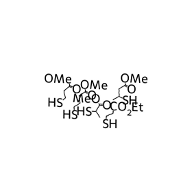 CCOC(=O)CCS.COC(=O)C(C)S.COC(=O)CC(C)S.COC(=O)CCCS.COC(=O)CCS